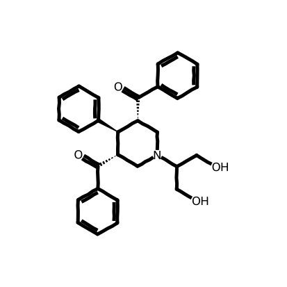 O=C(c1ccccc1)[C@H]1CN(C(CO)CO)C[C@@H](C(=O)c2ccccc2)[C@@H]1c1ccccc1